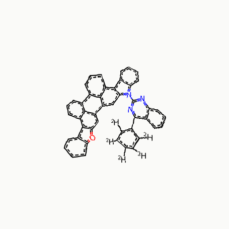 [2H]c1c([2H])c([2H])c(-c2nc(-n3c4ccccc4c4c5cccc6c7cccc8c9c(cc(c(cc43)c65)c78)oc3ccccc39)nc3ccccc23)c([2H])c1[2H]